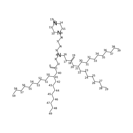 C=C(CCN(CCCCN1CCN(C)CC1)CCC(=C)CC(CCCCCCCC)CCCCCCCCCC)CC(CCCCCCCC)CCCCCCCCCC